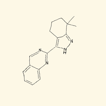 CC1(C)CCCc2c1n[nH]c2-c1ncc2ccccc2n1